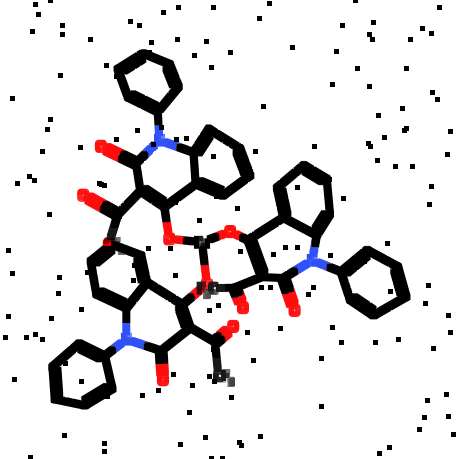 O=C(c1c([O][Eu]([O]c2c(C(=O)C(F)(F)F)c(=O)n(-c3ccccc3)c3ccccc23)[O]c2c(C(=O)C(F)(F)F)c(=O)n(-c3ccccc3)c3ccccc23)c2ccccc2n(-c2ccccc2)c1=O)C(F)(F)F